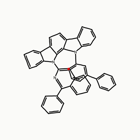 c1ccc(-c2cccc(-n3c4ccccc4c4ccc5c6ccccc6n(-c6cc7ccccc7c(-c7ccccc7)n6)c5c43)c2)cc1